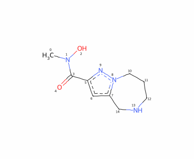 CN(O)C(=O)c1cc2n(n1)CCCNC2